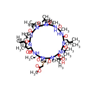 C/C=C/C[C@@H](C)[C@@H](O)[C@H]1C(=O)N[C@@H](CC)C(=O)N(C)[C@H](CSCC(=O)OC)C(=O)N(C)[C@@H](CC(C)(C)O)C(=O)N[C@H](C(C)C)C(=O)N(C)[C@H](CCC(C)C)C(=O)N[C@H](C)C(=O)N[C@@H](C)C(=O)N(C)[C@@H](CC(C)C)C(=O)N(C)[C@@H](CC(C)C)C(=O)N(C)[C@@H](C(C)C)C(=O)N1C